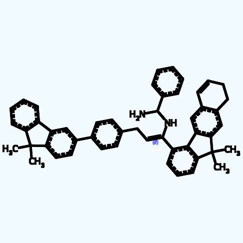 CC1(C)c2ccccc2-c2cc(-c3ccc(C/C=C(\NC(N)c4ccccc4)c4cccc5c4-c4cc6c(cc4C5(C)C)CCC=C6)cc3)ccc21